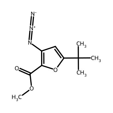 COC(=O)c1oc(C(C)(C)C)cc1N=[N+]=[N-]